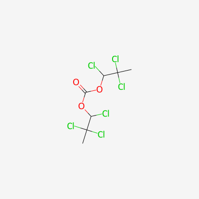 CC(Cl)(Cl)C(Cl)OC(=O)OC(Cl)C(C)(Cl)Cl